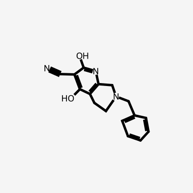 N#Cc1c(O)nc2c(c1O)CCN(Cc1ccccc1)C2